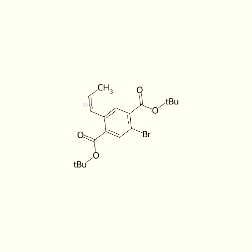 C/C=C\c1cc(C(=O)OC(C)(C)C)c(Br)cc1C(=O)OC(C)(C)C